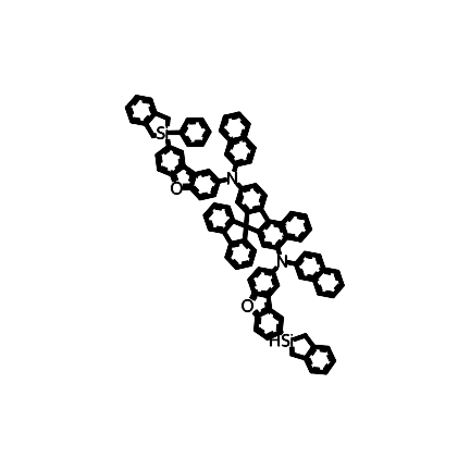 c1ccc([Si]2(c3ccc4oc5ccc(N(c6ccc7c(c6)C6(c8ccccc8-c8ccccc86)c6cc(N(c8ccc9ccccc9c8)c8ccc9oc%10ccc([SiH]%11Cc%12ccccc%12C%11)cc%10c9c8)c8ccccc8c6-7)c6ccc7ccccc7c6)cc5c4c3)Cc3ccccc3C2)cc1